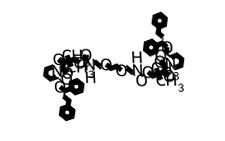 CC(C)(COC(=O)NCCOCCOCCNC(=O)OCC(C)(C)C(=O)C(=O)N1CCCC[C@H]1C(=O)O[C@H](CCc1ccccc1)c1ccccc1)C(=O)C(=O)N1CCCC[C@@H]1C(=O)O[C@@H](CCc1ccccc1)c1ccccc1